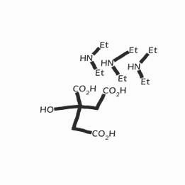 CCNCC.CCNCC.CCNCC.O=C(O)CC(O)(CC(=O)O)C(=O)O